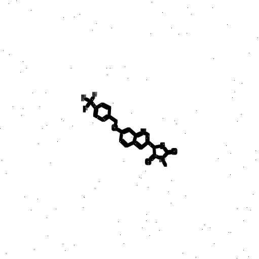 CN1C(=O)SC(c2cnc3cc(OCc4ccc(C(F)(F)F)cc4)ccc3c2)C1=O